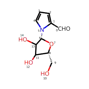 O=Cc1cccn1[C@@H]1O[C@H](CO)C(O)C1O